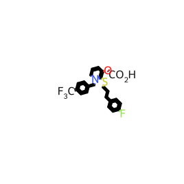 O=C(O)OC1=C(SCCCc2ccc(F)cc2)N(Cc2ccc(C(F)(F)F)cc2)CC=C1